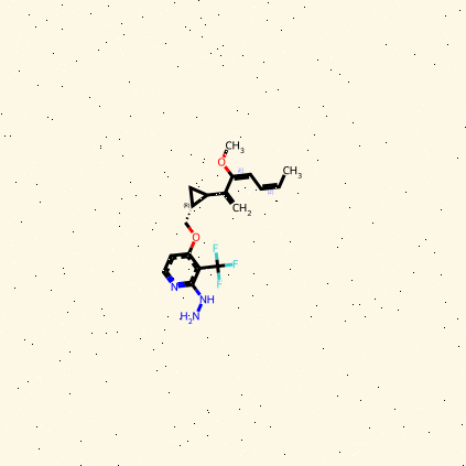 C=C(/C(=C\C=C/C)OC)C1C[C@H]1COc1ccnc(NN)c1C(F)(F)F